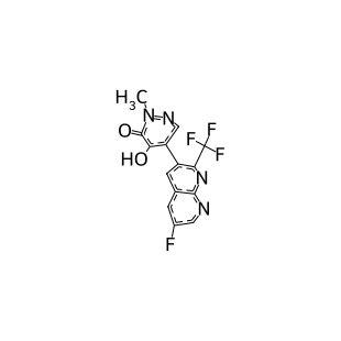 Cn1ncc(-c2cc3cc(F)cnc3nc2C(F)(F)F)c(O)c1=O